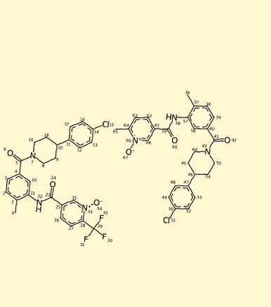 Cc1ccc(C(=O)N2CCC(c3ccc(Cl)cc3)CC2)cc1NC(=O)c1ccc(C(F)(F)F)[n+]([O-])c1.Cc1ccc(C(=O)N2CCC(c3ccc(Cl)cc3)CC2)cc1NC(=O)c1ccc(C)[n+]([O-])c1